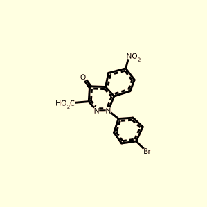 O=C(O)c1nn(-c2ccc(Br)cc2)c2ccc([N+](=O)[O-])cc2c1=O